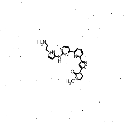 CN1CCC(c2cc(-c3cccc(-c4ccnc(Nc5ccn(CCN)n5)n4)n3)no2)C1=O